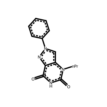 CCCn1c(=O)[nH]c(=O)c2nn(-c3ccccc3)cc21